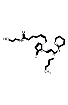 CCCCC[C@H](/C=C/[C@H]1C(=O)C=C[C@@H]1C/C=C\CCCC(=O)NCCO)OC1CCCCO1